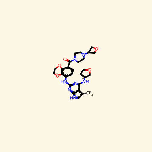 O=C(c1ccc(Nc2nc(N[C@H]3CCOC3)c3c(C(F)(F)F)c[nH]c3n2)c2c1OCCO2)N1CCN(C2COC2)CC1